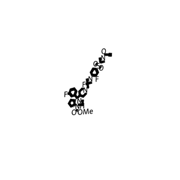 C#CC(=O)N1CC(S(=O)(=O)c2ccc(N3CC(F)(CN4CCC(C(c5cccc(F)c5)([C@H]5CCC[C@@H]5NC(=O)OC)N5CCC5)CC4)C3)c(F)c2)C1